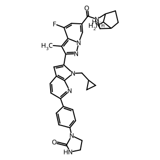 Cc1c(-c2cc3ccc(-c4ccc(N5CCNC5=O)cc4)nc3n2CC2CC2)nn2cc(C(=O)N3CC4CCC3[C@@H]4N)cc(F)c12